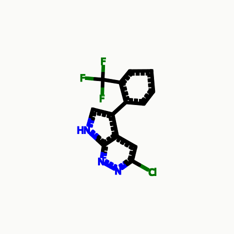 FC(F)(F)c1ccccc1-c1c[nH]c2nnc(Cl)cc12